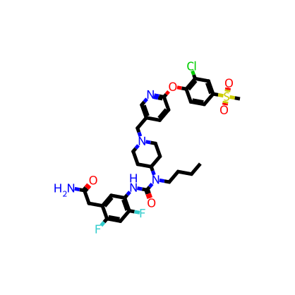 CCCCN(C(=O)Nc1cc(CC(N)=O)c(F)cc1F)C1CCN(Cc2ccc(Oc3ccc(S(C)(=O)=O)cc3Cl)nc2)CC1